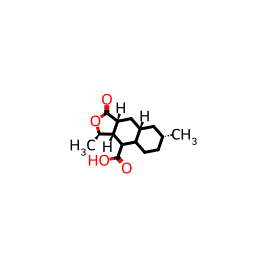 C[C@@H]1CCC2C(C(=O)O)[C@@H]3[C@@H](C)OC(=O)[C@@H]3C[C@@H]2C1